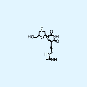 CC(=N)NCC#Cc1cn(C2CNCC(CO)O2)c(=O)[nH]c1=O